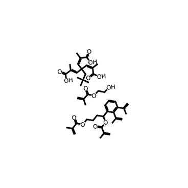 C=C(C)C(=O)OCCCC(OC(=O)C(=C)C)c1cccc(C(=C)C)c1C(=C)C.C=C(C)C(=O)OCCO.CC(=CC(C=C(C)C(=O)O)(C=C(C)C(=O)O)CC(C)(C)C)C(=O)O